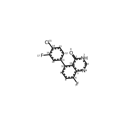 O=c1[nH]cnc2c(F)ccc(-c3ccc(Cl)c(F)c3)c12